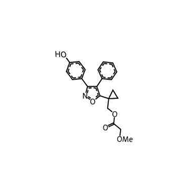 COCC(=O)OCC1(c2onc(-c3ccc(O)cc3)c2-c2ccccc2)CC1